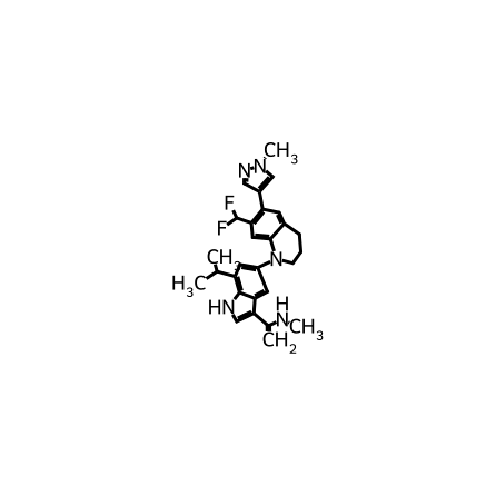 C=C(NC)c1c[nH]c2c(C(C)C)cc(N3CCCc4cc(-c5cnn(C)c5)c(C(F)F)cc43)cc12